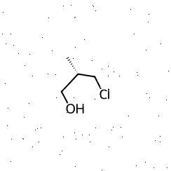 C[C@@H](CO)CCl